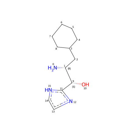 N[C@H](CC1CCCCC1)[C@H](O)c1ncc[nH]1